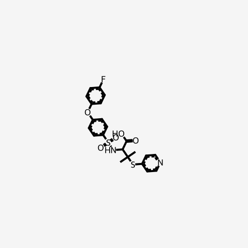 CC(C)(Sc1ccncc1)C(NS(=O)(=O)c1ccc(Oc2ccc(F)cc2)cc1)C(=O)O